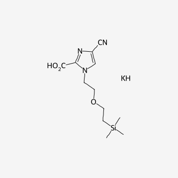 C[Si](C)(C)CCOCCn1cc(C#N)nc1C(=O)O.[KH]